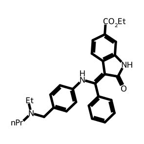 CCCN(CC)Cc1ccc(NC(=C2C(=O)Nc3cc(C(=O)OCC)ccc32)c2ccccc2)cc1